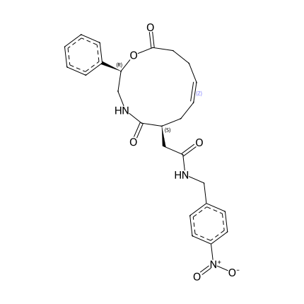 O=C(C[C@@H]1C/C=C\CCC(=O)O[C@H](c2ccccc2)CNC1=O)NCc1ccc([N+](=O)[O-])cc1